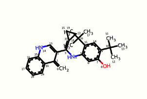 C=C1C(C(Nc2cc(O)c(C(C)(C)C)cc2C(C)(C)C)=C2CC2)=CNc2ccccc21